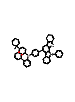 CC1(c2ccc(N(c3ccc(-c4cc5c6c(oc5c5c4c4ccccc4n5-c4ccccc4)C=CCC6)cc3)c3ccccc3-c3ccccc3)cc2)C=CC=CC1